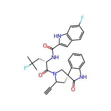 C#CC1C[C@@]2(CN1C(=O)[C@H](CC(C)(C)F)NC(=O)c1cc3ccc(F)cc3[nH]1)C(=O)Nc1ccccc12